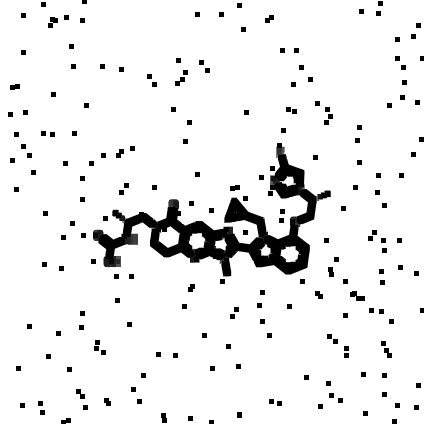 C[C@H](CN1CCc2nc3c(cc2C1=O)nc(-c1cc2cccc(OC[C@@H](C)n4cnc(F)c4)c2n1CC1CC1)n3C)NC(=O)O